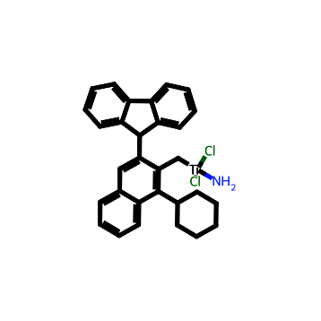 [NH2][Ti]([Cl])([Cl])[CH2]c1c(C2c3ccccc3-c3ccccc32)cc2ccccc2c1C1CCCCC1